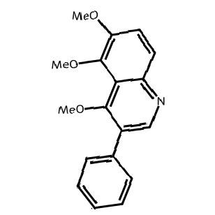 COc1ccc2ncc(-c3cc[c]cc3)c(OC)c2c1OC